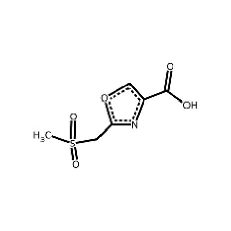 CS(=O)(=O)Cc1nc(C(=O)O)co1